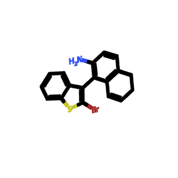 Nc1ccc2c(c1-c1c(Br)sc3ccccc13)C=CCC2